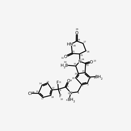 Bc1cc(CN(B)C(=O)C(F)(F)c2ccc(Cl)cc2)cc2c1C(=O)N(C1CCC(=O)NC1=O)C2B